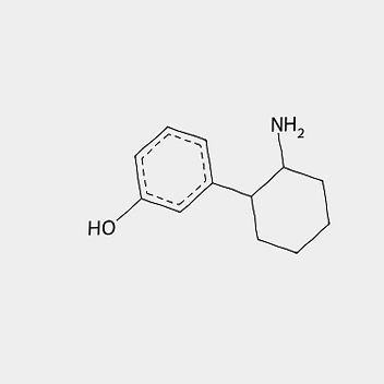 NC1CCCCC1c1cccc(O)c1